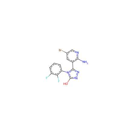 Nc1ncc(Br)cc1-c1nnc(O)n1-c1cccc(F)c1F